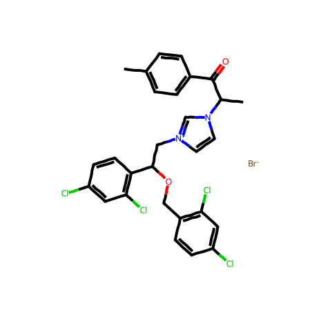 Cc1ccc(C(=O)C(C)n2cc[n+](CC(OCc3ccc(Cl)cc3Cl)c3ccc(Cl)cc3Cl)c2)cc1.[Br-]